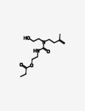 C=C(C)CCN(CCO)C(=O)NCCOC(=O)CC